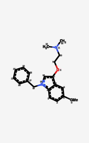 COc1ccc2c(c1)c(OCCN(C)C)cn2Cc1ccccc1